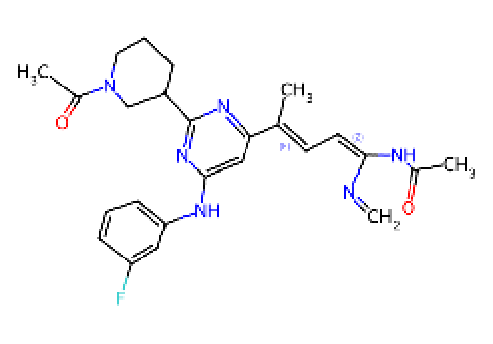 C=N/C(=C\C=C(/C)c1cc(Nc2cccc(F)c2)nc(C2CCCN(C(C)=O)C2)n1)NC(C)=O